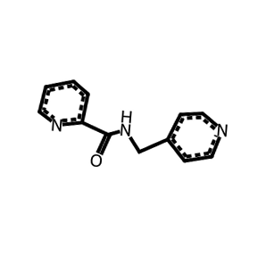 O=C(NCc1ccncc1)c1ccccn1